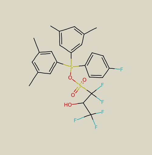 Cc1cc(C)cc(S(OS(=O)(=O)C(F)(F)C(O)C(F)(F)F)(c2ccc(F)cc2)c2cc(C)cc(C)c2)c1